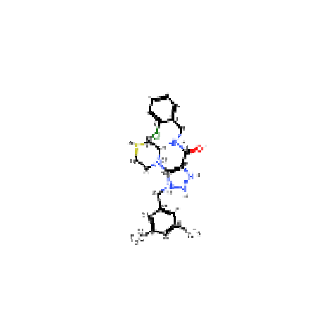 O=C(NCc1ccccc1Cl)c1nnn(Cc2cc(C(F)(F)F)cc(C(F)(F)F)c2)c1N1CCSCC1